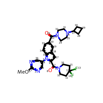 COc1ncc(-n2c(C(=O)N3CCC(F)(F)CC3)cc3cc(C(=O)N4CCN(C5CCC5)CC4)ccc32)cn1